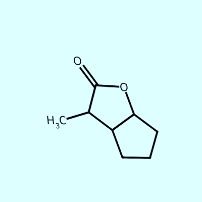 CC1C(=O)OC2CCCC21